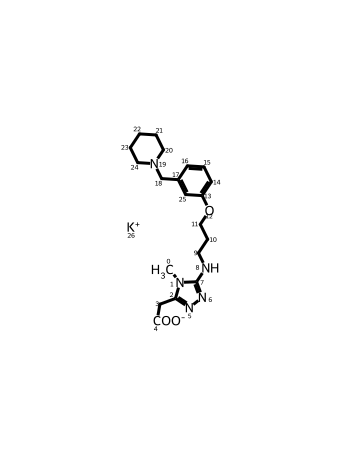 Cn1c(CC(=O)[O-])nnc1NCCCOc1cccc(CN2CCCCC2)c1.[K+]